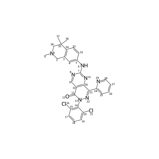 CN1Cc2cc(Nc3ncc4c(=O)n(-c5c(Cl)cccc5Cl)nc(-c5ccccn5)c4n3)ccc2C(C)(C)C1